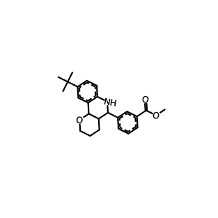 COC(=O)c1cccc(C2Nc3ccc(C(C)(C)C)cc3C3OCCCC23)c1